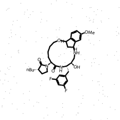 CCCC[C@H]1CCN([C@H]2CCCCO[C@@H]3C[C@H](NC[C@@H](O)[C@H](Cc4cc(F)cc(F)c4)NC2=O)c2cc(OC)ccc23)C1=O